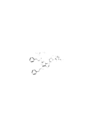 CCn1nnc([C@H]2O[C@@H](n3cnc4c(NCCc5ccccc5)nc(N(CO)CCc5ccccc5)nc43)[C@H](O)[C@@H]2O)n1.O=CO